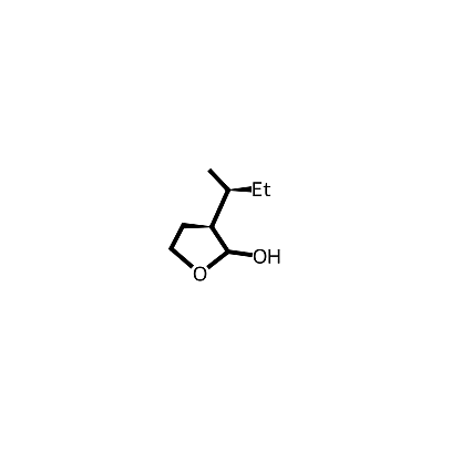 CC[C@H](C)[C@@H]1CCOC1O